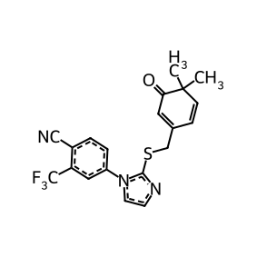 CC1(C)C=CC(CSc2nccn2-c2ccc(C#N)c(C(F)(F)F)c2)=CC1=O